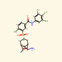 CC1CC2C[C@@H](S(=O)(=O)c3cc(C(=O)Nc4cc(F)c(F)c(F)c4)ccc3Cl)CC1[C@]2(O)CN